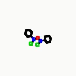 ClN(ON(Cl)c1ccccc1)c1ccccc1